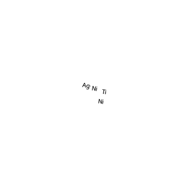 [Ag].[Ni].[Ni].[Ti]